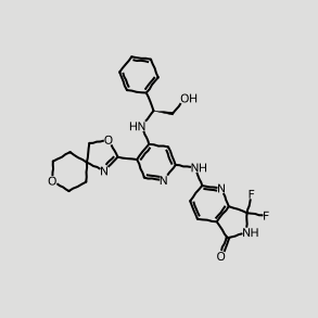 O=C1NC(F)(F)c2nc(Nc3cc(N[C@H](CO)c4ccccc4)c(C4=NC5(CCOCC5)CO4)cn3)ccc21